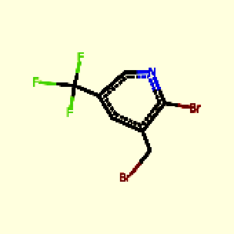 FC(F)(F)c1cnc(Br)c(CBr)c1